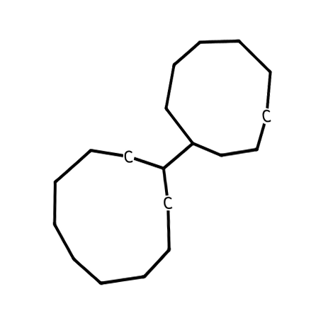 C1CCCCC(C2CCCCCCCC2)CCCC1